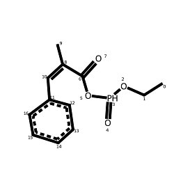 CCO[PH](=O)OC(=O)C(C)=Cc1ccccc1